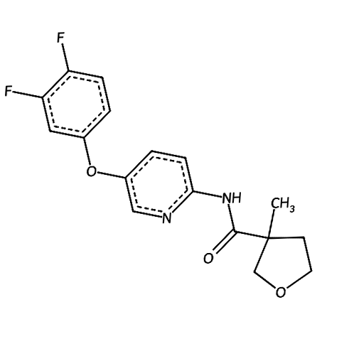 CC1(C(=O)Nc2ccc(Oc3ccc(F)c(F)c3)cn2)CCOC1